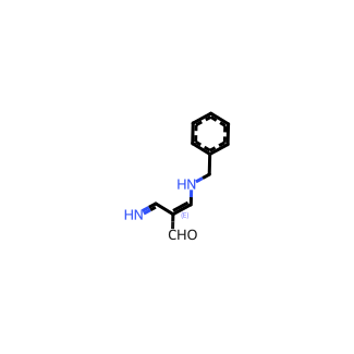 N=C/C(C=O)=C\NCc1ccccc1